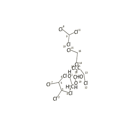 CO.ClC(Cl)C(Cl)Cl.ClC(Cl)Cl.ClCC(Cl)(Cl)Cl.ClCCl.O=CO